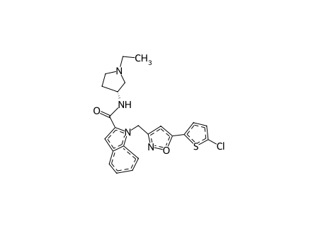 CCN1CC[C@@H](NC(=O)c2cc3ccccc3n2Cc2cc(-c3ccc(Cl)s3)on2)C1